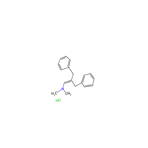 CN(C)C=C(Cc1ccccc1)Cc1ccccc1.Cl